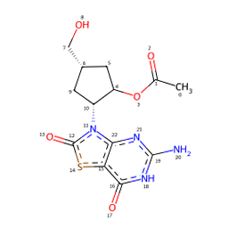 CC(=O)OC1C[C@@H](CO)C[C@H]1n1c(=O)sc2c(=O)[nH]c(N)nc21